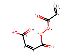 C=CC(=O)OOC(=O)/C=C\C(=O)O